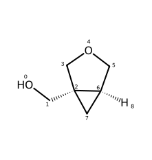 OC[C@]12COC[C@H]1C2